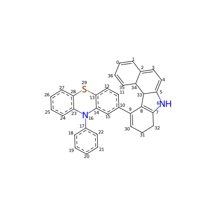 C1=CC2=CC=C3NC4=C(C(c5ccc6c(c5)N(c5ccccc5)c5ccccc5S6)=CCC4)C3C2C=C1